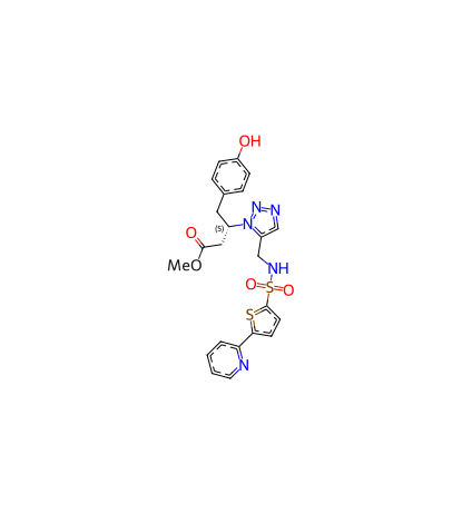 COC(=O)C[C@H](Cc1ccc(O)cc1)n1nncc1CNS(=O)(=O)c1ccc(-c2ccccn2)s1